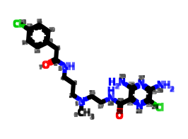 CN(CCCNC(=O)Cc1ccc(Cl)cc1)CCNC(=O)c1nc(Cl)c(N)nc1N